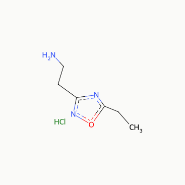 CCc1nc(CCN)no1.Cl